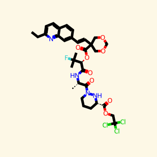 CCc1ccc2ccc(/C=C/C3(C(=O)O[C@H](C(=O)N[C@@H](C)C(=O)N4CCC[C@@H](C(=O)OCC(Cl)(Cl)Cl)N4)C(C)(C)F)COCOC3)cc2n1